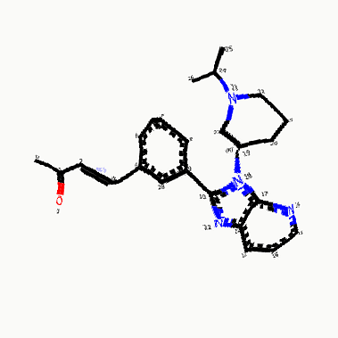 CC(=O)/C=C/c1cccc(-c2nc3cccnc3n2[C@@H]2CCCN(C(C)C)C2)c1